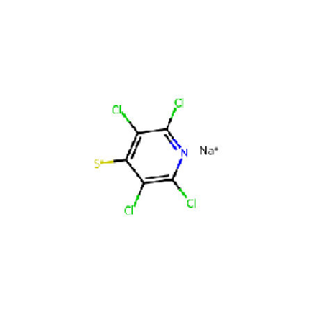 [Na+].[S-]c1c(Cl)c(Cl)nc(Cl)c1Cl